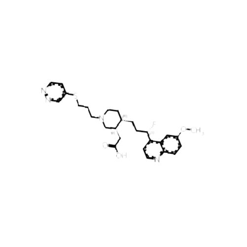 COc1ccc2nccc([C@@H](F)CC[C@@H]3CCN(CCCSc4ccnnc4)C[C@@H]3CC(=O)O)c2c1